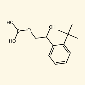 CC(C)(C)c1ccccc1C(O)COB(O)O